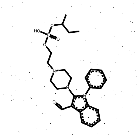 CCC(C)OP(=O)(O)OCCN1CCN(c2c(C=O)c3ccccc3n2-c2ccccc2)CC1